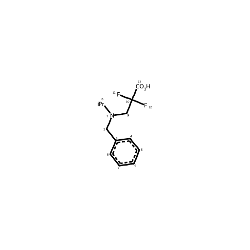 CC(C)N(Cc1ccccc1)CC(F)(F)C(=O)O